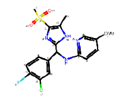 COc1ccc(NC(c2ccc(F)c(Cl)c2)c2nc(S(C)(=O)=O)c(C)[nH]2)nc1